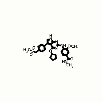 CNC(=O)c1ccc(Nc2nc(OC3CCCC3)c3c(-c4ccc(CS(C)(=O)=O)cc4)c[nH]c3n2)c(OC)c1